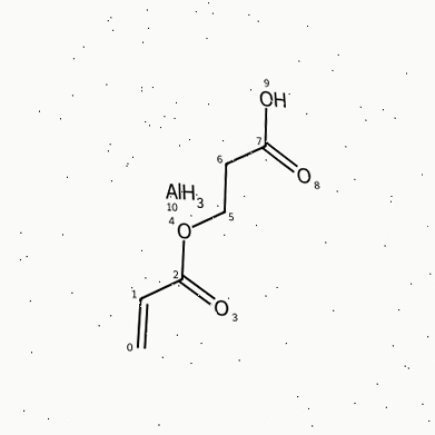 C=CC(=O)OCCC(=O)O.[AlH3]